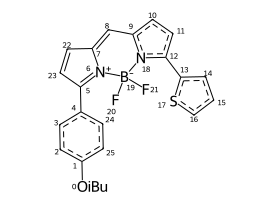 CC(C)COc1ccc(C2=[N+]3C(=Cc4ccc(-c5cccs5)n4[B-]3(F)F)C=C2)cc1